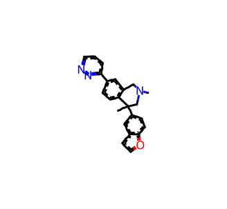 CN1Cc2cc(-c3cccnn3)ccc2C(C)(c2ccc3occc3c2)C1